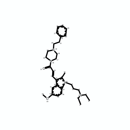 CCN(CC)CCCn1c(C)c(C=CC(=O)N2CCN(CCc3ccccc3)CC2)c2cc(OC)ccc21